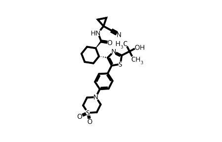 CC(C)(O)c1nc([C@@H]2CCCC[C@H]2C(=O)NC2(C#N)CC2)c(-c2ccc(N3CCS(=O)(=O)CC3)cc2)s1